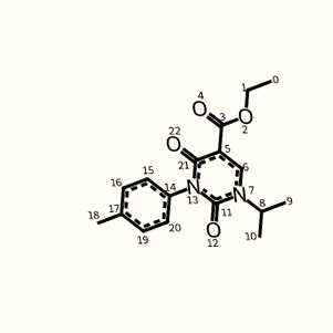 CCOC(=O)c1cn(C(C)C)c(=O)n(-c2ccc(C)cc2)c1=O